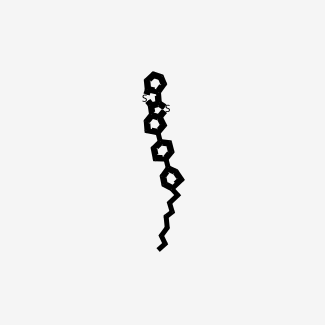 CCCCCCCCc1ccc(-c2ccc(-c3ccc4c(c3)sc3c5ccccc5sc43)cc2)cc1